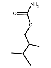 CC(C)C(C)COC(N)=O